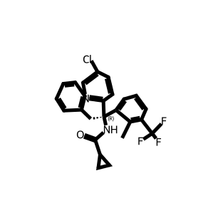 Cc1c(C(F)(F)F)cccc1[C@@](Cc1ccccc1)(NC(=O)C1CC1)c1ccc(Cl)cn1